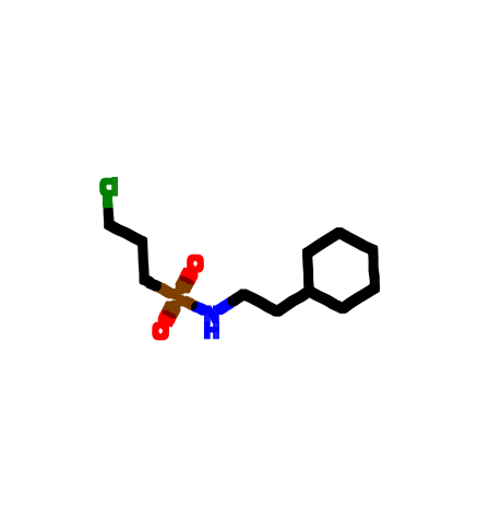 O=S(=O)(CCCCl)NCCC1CCCCC1